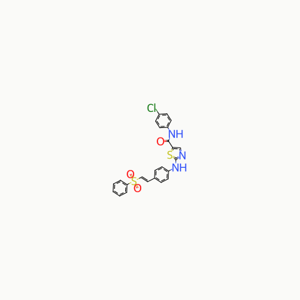 O=C(Nc1ccc(Cl)cc1)c1cnc(Nc2ccc(C=CS(=O)(=O)c3ccccc3)cc2)s1